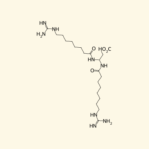 N=C(N)NCCCCCCCC(=O)NC(CC(=O)O)NC(=O)CCCCCCCNC(=N)N